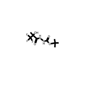 CC(C)(C)OC(=O)NNC(=O)C(C)(O)C(F)(F)F